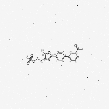 CC(=O)c1cccc(-c2ccc(-c3nc(CCOS(C)(=O)=O)c(C)o3)cc2)c1